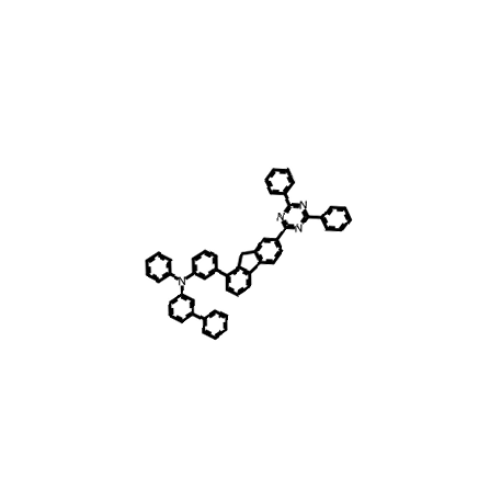 c1ccc(-c2cccc(N(c3ccccc3)c3cccc(-c4cccc5c4Cc4cc(-c6nc(-c7ccccc7)nc(-c7ccccc7)n6)ccc4-5)c3)c2)cc1